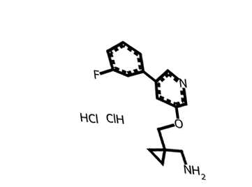 Cl.Cl.NCC1(COc2cncc(-c3cccc(F)c3)c2)CC1